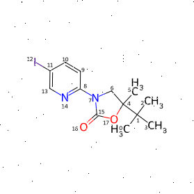 CC(C)(C)C1(C)CN(c2ccc(I)cn2)C(=O)O1